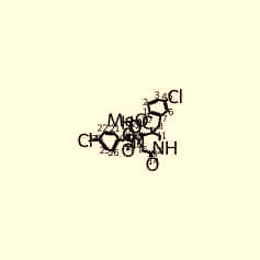 COc1ccc(Cl)cc1CC1(C)CNC(=O)CN(S(=O)(=O)c2ccc(Cl)cc2)C1=O